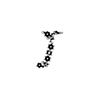 N=C/C=N\NC[C@@]1(c2ccc(Cl)cc2Cl)OC[C@@H](COc2ccc(N3CCN(c4ccc(-n5cnn(CC6CCCC6)c5=O)cc4)CC3)cc2)O1